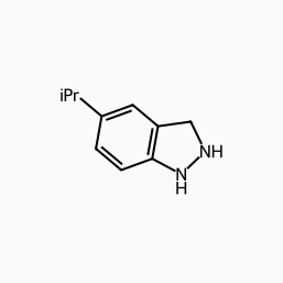 CC(C)c1ccc2c(c1)CNN2